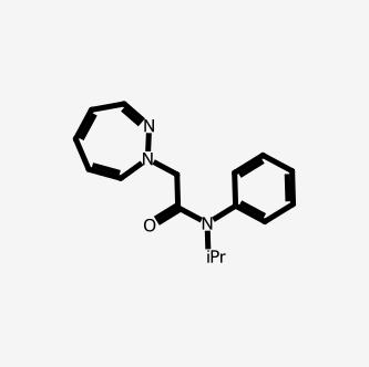 CC(C)N(C(=O)CN1C=CC=CC=N1)c1ccccc1